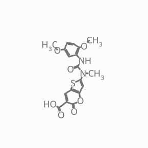 COc1ccc(OC)c(NC(=O)N(C)c2cc3oc(=O)c(C(=O)O)cc3s2)c1